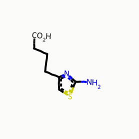 Nc1nc(CCCC(=O)O)cs1